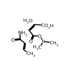 CC=CC(N)=O.CN(C)OC(=O)/C=C\C(=O)O.O